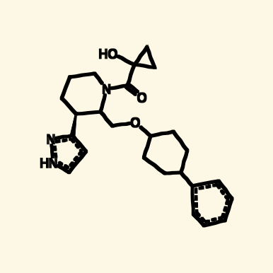 O=C(N1CCC[C@H](c2cc[nH]n2)C1COC1CCC(c2ccccc2)CC1)C1(O)CC1